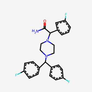 NC(=O)C(c1cccc(F)c1)N1CCN(C(c2ccc(F)cc2)c2ccc(F)cc2)CC1